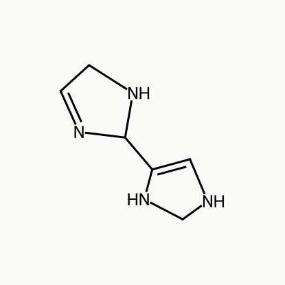 C1=NC(C2=CNCN2)NC1